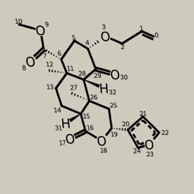 C=CCO[C@H]1C[C@@H](C(=O)OC)[C@]2(C)CC[C@H]3C(=O)O[C@@H](c4ccoc4)C[C@]3(C)[C@H]2C1=O